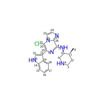 C[C@H]1CCNC[C@H]1Nc1nc(-c2c[nH]c3ccccc23)c(Cl)n2ccnc12